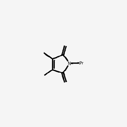 C=c1c(C)c(C)c(=C)n1C(C)C